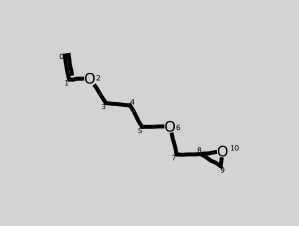 C=COCCCOCC1CO1